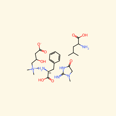 CC(C)CC(N)C(=O)O.CN1CC(=O)NC1=N.C[N+](C)(C)CC(O)CC(=O)[O-].N[C@@H](Cc1ccccc1)C(=O)O